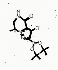 C[C@H]1CNC(=O)c2c(Cl)c(B3OC(C)(C)C(C)(C)O3)nn21